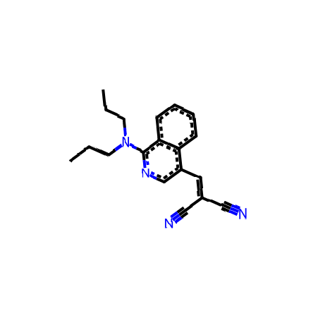 CCCN(CCC)c1ncc(C=C(C#N)C#N)c2ccccc12